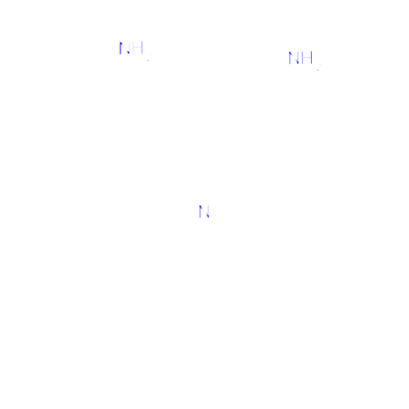 CC1CCCCC1N(CCCN)CCCN